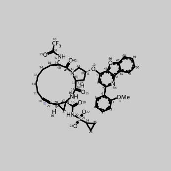 COc1ccccc1-c1cc(O[C@@H]2C[C@H]3C(=O)N[C@]4(C(=O)NS(=O)(=O)C5CC5)C[C@H]4/C=C\CCCCC[C@H](NC(=O)C(F)(F)F)C(=O)N3C2)c2oc3ccccc3c2n1